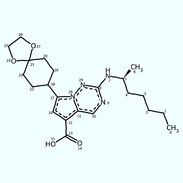 CCCCC[C@H](C)Nc1ncc2c(C(=O)O)cc(C3CCC4(CC3)OCCO4)n2n1